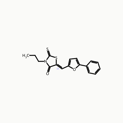 CCCN1C(=O)/C(=C/c2ccc(-c3ccccc3)o2)SC1=S